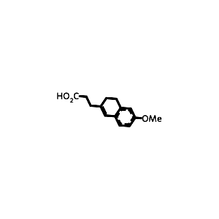 COc1ccc2c(c1)CCC(CCC(=O)O)=C2